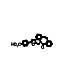 O=C(O)c1ccc(C2=CCC(CN3C(=O)c4ccccc4/C=C\c4ccccc43)O2)cc1